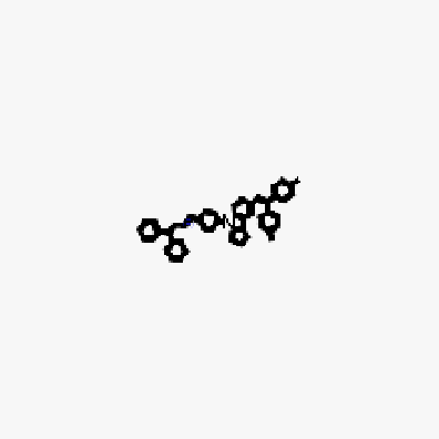 Cc1ccc(C(=Cc2ccc3c(c2)C2CCCC2N3c2ccc(/C=C/C=C(c3ccccc3)c3ccccc3)cc2)c2ccc(C)cc2)cc1